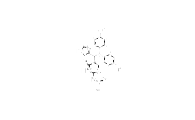 COc1ccc(C(c2ccc(OC)cc2)C(c2c[nH]cn2)c2cnc(N[N+](=O)[O-])[nH]c2=O)cc1